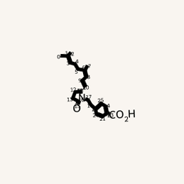 CC(C)=CCCC(C)=CC=C[C@H]1CCC(=O)N1CCc1ccc(C(=O)O)cc1